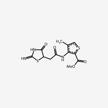 COC(=O)c1scc(C)c1NC(=O)CC1SC(=N)NC1=O